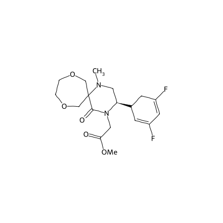 COC(=O)CN1C(=O)C2(COCCOC2)N(C)C[C@H]1C1C=C(F)C=C(F)C1